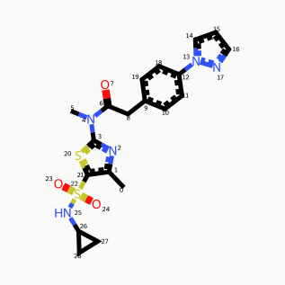 Cc1nc(N(C)C(=O)Cc2ccc(-n3cccn3)cc2)sc1S(=O)(=O)NC1CC1